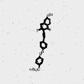 CCCCOc1ccc(N=Nc2ccc(C#Cc3c(F)cc4c(c3F)CCC(CCCC)C4)cc2)cc1